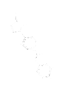 O=C1C=CC(c2ccc(OCc3ccccc3)cc2)O1